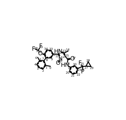 Cc1cccc(C)c1-c1cc(-c2[nH]c(C)c(C(=O)Nc3cccc(C(F)(F)C4CC4)c3)[n+]2[O-])ccc1OC(F)F